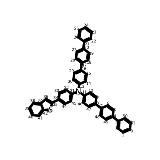 c1ccc(-c2ccc(-c3ccc(N(c4ccc(-c5ccc(-c6ccccc6)cc5)cc4)c4ccc(-c5cc6ccccc6s5)cc4)cc3)cc2)cc1